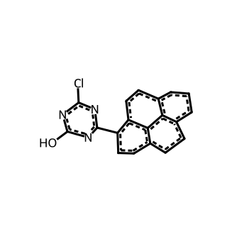 Oc1nc(Cl)nc(-c2ccc3ccc4cccc5ccc2c3c45)n1